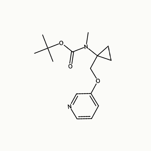 CN(C(=O)OC(C)(C)C)C1(COc2cccnc2)CC1